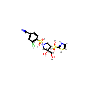 N#Cc1ccc(S(=O)(=O)N2C[C@H](S(=O)(=O)c3nccs3)[C@](O)(CO)C2)c(Cl)c1